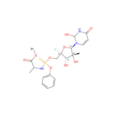 CC(C)OC(=O)C(C)NP(=S)(OC[C@@]1(F)O[C@@H](N2C=CC(=O)NC2O)[C@](C)(O)[C@@H]1O)Oc1ccccc1